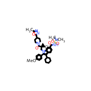 COc1ccc(-c2c(C3CCCCC3)c3ccc(C(=O)NS(=O)(=O)N(C)C)cc3n2CC2(C(=O)N3CCC(c4nnc(C)o4)CC3)CC2C)cc1